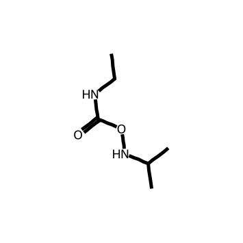 CCNC(=O)ONC(C)C